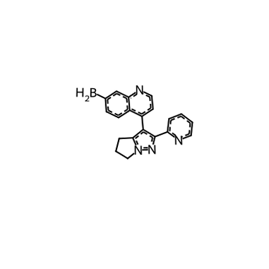 Bc1ccc2c(-c3c(-c4ccccn4)nn4c3CCC4)ccnc2c1